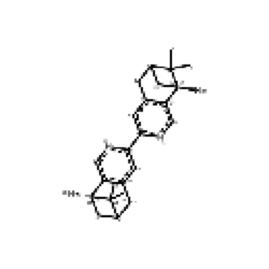 CC1(C)C2Cc3cc(-c4cc5c(cn4)[C@@H]4CC(C5)C4(C)C)ncc3[C@@H]1C2